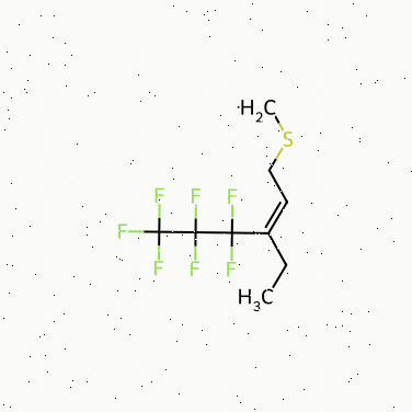 [CH2]SCC=C(CC)C(F)(F)C(F)(F)C(F)(F)F